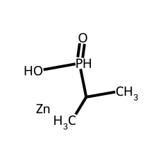 CC(C)[PH](=O)O.[Zn]